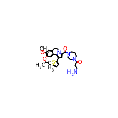 COc1cc2c(cc1OC(C)C)-c1c(-c3cccs3)cc(C(=O)N3CCCN(C(=O)CCN)CC3)n1CC2